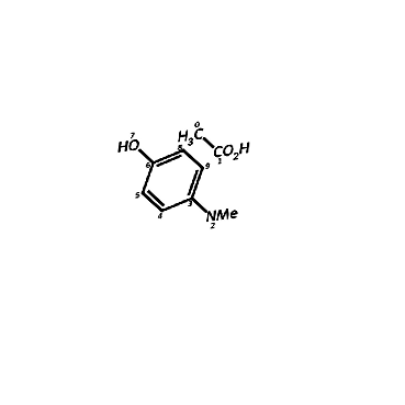 CC(=O)O.CNc1ccc(O)cc1